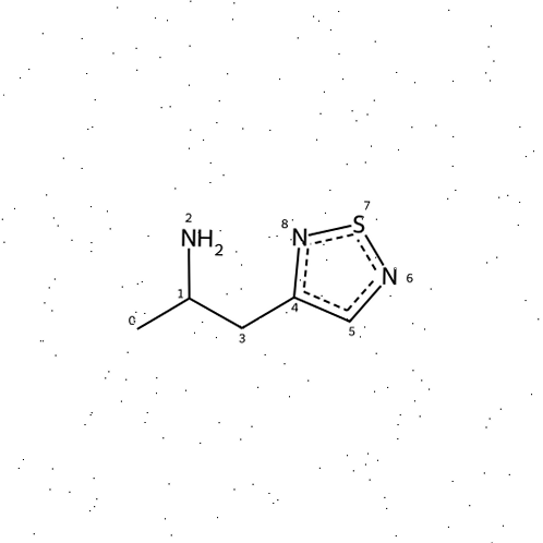 CC(N)Cc1cnsn1